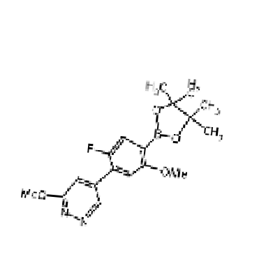 COc1cc(-c2cc(OC)c(B3OC(C)(C)C(C)(C)O3)cc2F)cnn1